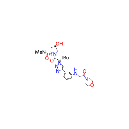 CNC(=O)[C@@H]1C[C@@H](O)CN1C(=O)[C@@H](n1cc(-c2cccc(NCC(=O)N3CCOCC3)c2)nn1)C(C)(C)C